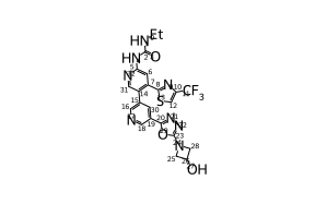 CCNC(=O)Nc1cc(-c2nc(C(F)(F)F)cs2)c(-c2cncc(-c3nnc(N4CC(O)C4)o3)c2)cn1